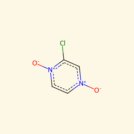 [O-][n+]1cc[n+]([O-])c(Cl)c1